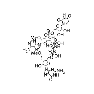 COCC[C@H]1[C@@H](O)[C@H](n2c[n+](C)c3c(=O)[nH]c(N)nc32)O[C@@H]1COP(=O)(O)OP(=O)(O)NP(=O)(O)OCC1O[C@@H](n2cnc3c(N)ncnc32)[C@H](OC)[C@@H]1OP(=O)(O)OC[C@H]1O[C@@H](n2ccc(=O)[nH]c2=O)[C@H](O)[C@@H]1O